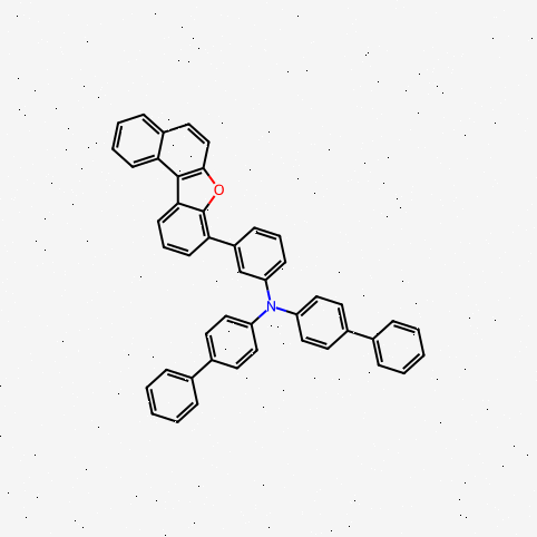 c1ccc(-c2ccc(N(c3ccc(-c4ccccc4)cc3)c3cccc(-c4cccc5c4oc4ccc6ccccc6c45)c3)cc2)cc1